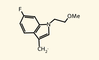 [CH2]c1cn(CCOC)c2cc(F)ccc12